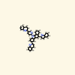 c1ccc2nc(-c3ccc(-n4c5ccc(-c6ccc7ccccc7n6)cc5c5cc(-c6ccc7ccccc7n6)c6ccccc6c54)nc3)ccc2c1